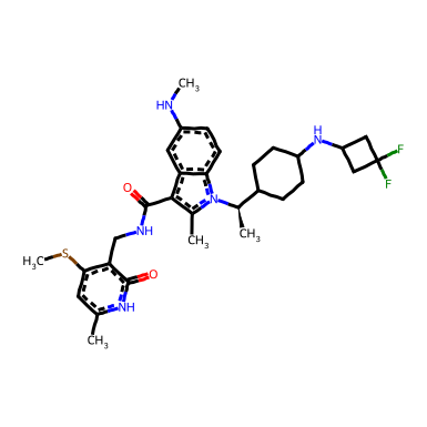 CNc1ccc2c(c1)c(C(=O)NCc1c(SC)cc(C)[nH]c1=O)c(C)n2[C@H](C)C1CCC(NC2CC(F)(F)C2)CC1